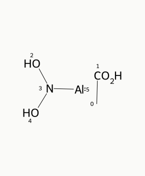 CC(=O)O.O[N](O)[Al]